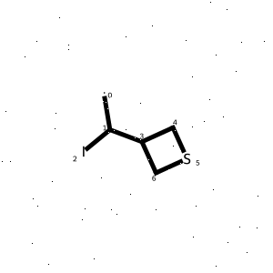 [CH2]C(I)C1CSC1